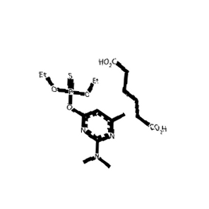 CCOP(=S)(OCC)Oc1cc(C)nc(N(C)C)n1.O=C(O)CCCCC(=O)O